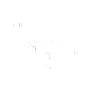 Cc1cc(C)c(Cn2cc(C(C)(C)C)cc2C(=O)NS(=O)(=O)c2ccc(N)cc2)c(C)c1